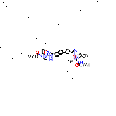 COC(=O)N[C@H](C(=O)N1CCC[C@H]1c1ncc(-c2ccc3cc(-c4ccc(-c5cnc([C@@H]6CC(C#N)CN6C(=O)[C@@H](NC(=O)OC)C(C)C)[nH]5)cc4)ccc3c2)[nH]1)C(C)C